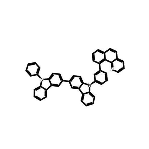 c1ccc(-n2c3ccccc3c3cc(-c4ccc5c(c4)c4ccccc4n5-c4cccc(-c5cccc6ccc7cccnc7c56)c4)ccc32)cc1